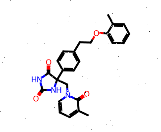 Cc1ccccc1OCCc1ccc(C2(Cn3cccc(C)c3=O)NC(=O)NC2=O)cc1